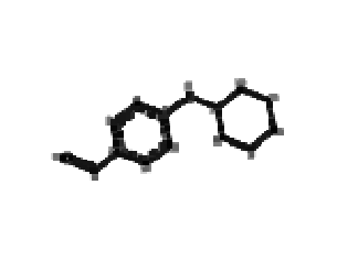 O=Cc1ccc(SC2CCCCC2)cc1